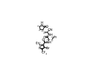 CCn1nc(C(F)(F)F)c(Br)c1C(=O)N[C@@H](CC(C)C)C(=O)N[C@H](C#N)C[C@@H]1CCNC1=O